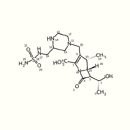 C[C@@H](O)[C@H]1C(=O)N2C(C(=O)O)=C(CN3CCNC(CNS(N)(=O)=O)C3)[C@H](C)[C@H]12